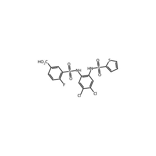 O=C(O)c1ccc(F)c(S(=O)(=O)Nc2cc(Cl)c(Cl)cc2NS(=O)(=O)c2cccs2)c1